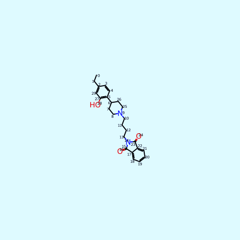 CCc1ccc(C2CCN(CCCCN3C(=O)c4ccccc4C3=O)CC2)c(O)c1